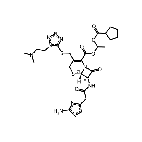 CC(OC(=O)C1=C(CSc2nnnn2CCN(C)C)CS[C@H]2[C@H](NC(=O)Cc3csc(N)n3)C(=O)N12)OC(=O)C1CCCC1